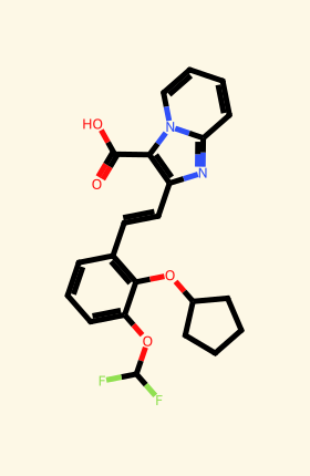 O=C(O)c1c(C=Cc2cccc(OC(F)F)c2OC2CCCC2)nc2ccccn12